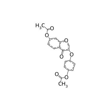 CC(=O)Oc1ccc(Oc2coc3cc(OC(C)=O)ccc3c2=O)cc1